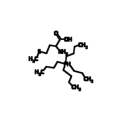 CCCC[PH](CCCC)(CCCC)CCCC.CSCCC(N)C(=O)O